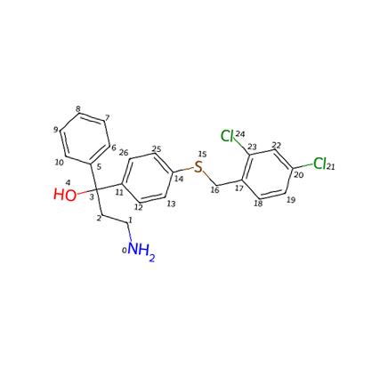 NCCC(O)(c1ccccc1)c1ccc(SCc2ccc(Cl)cc2Cl)cc1